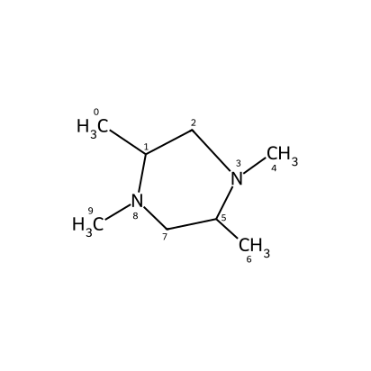 CC1CN(C)C(C)CN1C